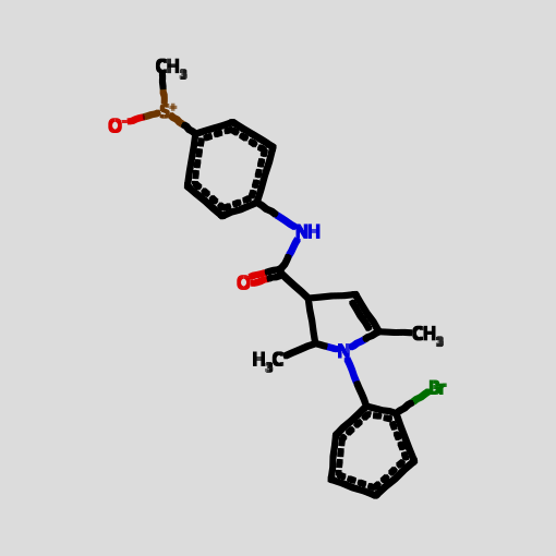 CC1=CC(C(=O)Nc2ccc([S+](C)[O-])cc2)C(C)N1c1ccccc1Br